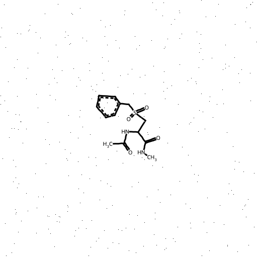 CNC(=O)C(CS(=O)(=O)Cc1ccccc1)NC(C)=O